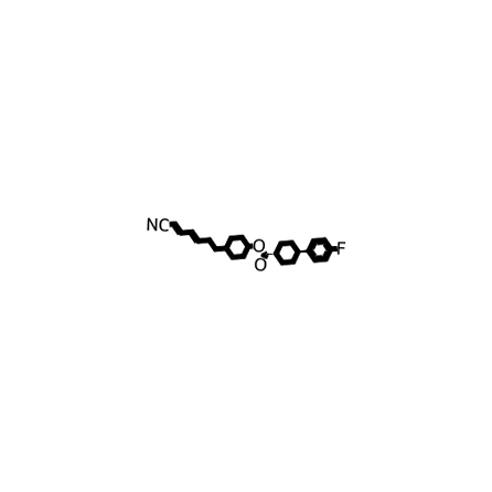 N#CC=C/C=C/CCC1CCC(OC(=O)[C@H]2CC[C@H](c3ccc(F)cc3)CC2)CC1